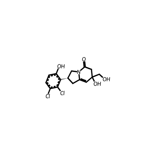 O=C1CC(O)(CO)C=C2C[C@H](c3c(O)ccc(Cl)c3Cl)CN12